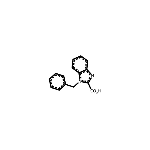 O=C(O)c1nc2ccccc2n1Cc1ccccc1